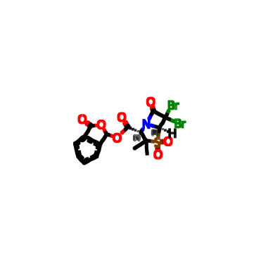 CC1(C)[C@H](C(=O)OC2OC(=O)c3ccccc32)N2C(=O)C(Br)(Br)[C@H]2S1(=O)=O